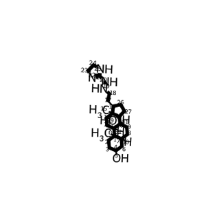 C[C@]12CC[C@H](O)C[C@H]1CC[C@@H]1[C@@H]2CC[C@]2(C)[C@@H](CCNNC3=NCCN3)CC[C@]12O